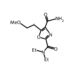 CCN(CC)C(=O)c1nc(C(N)=O)c([CH]COC)o1